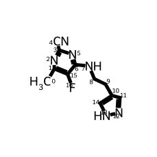 Cc1nc(C#N)nc(NCCc2cn[nH]c2)c1F